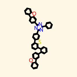 c1ccc(-c2nc(-c3ccc4c(c3)oc3ccccc34)nc(-c3ccc4c(c3)sc3c(-c5ccccc5-c5ccc6oc7ccccc7c6c5)cccc34)n2)cc1